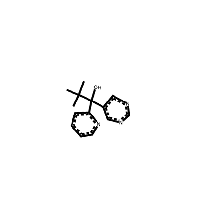 CC(C)(C)C(O)(c1cncnc1)c1ccccn1